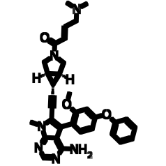 COc1cc(Oc2ccccc2)ccc1-c1c(C#C[C@@H]2[C@H]3CN(C(=O)/C=C/CN(C)C)C[C@@H]23)n(C)c2ncnc(N)c12